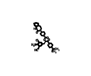 C#Cc1cc(C[C@@H](OC(=O)N2CCC(N3CCc4ccccc4NC3=O)CC2)C(=O)N2CCC(N(C)C)CC2)cc(Cl)c1N